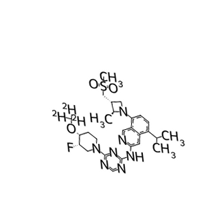 [2H]C([2H])([2H])O[C@@H]1CCN(c2ncnc(Nc3cc4c(C(C)C)ccc(N5C[C@@H](CS(C)(=O)=O)[C@@H]5C)c4cn3)n2)C[C@@H]1F